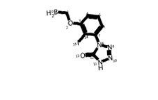 BCOc1cccc(-n2nn[nH]c2=O)c1I